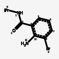 CC(C)NC(=O)c1cccc(Br)c1N